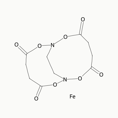 O=C1CCC(=O)ON2CCN(O1)OC(=O)CCC(=O)O2.[Fe]